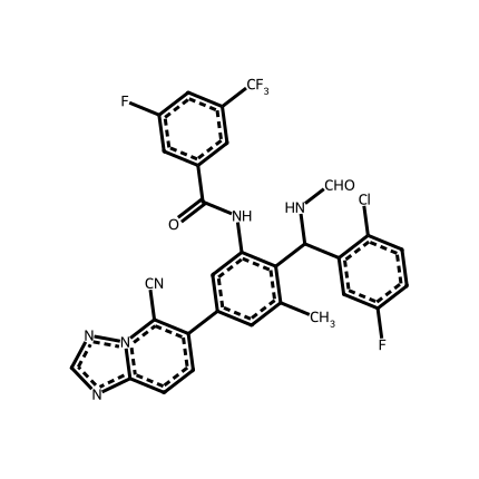 Cc1cc(-c2ccc3ncnn3c2C#N)cc(NC(=O)c2cc(F)cc(C(F)(F)F)c2)c1C(NC=O)c1cc(F)ccc1Cl